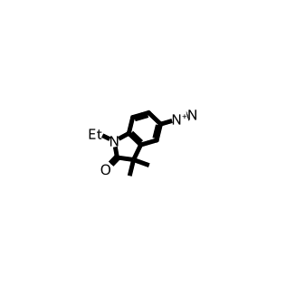 CCN1C(=O)C(C)(C)c2cc([N+]#N)ccc21